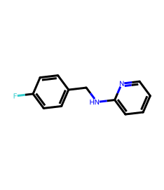 Fc1ccc(CNc2ccccn2)cc1